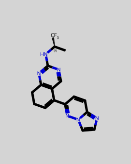 C[C@@H](Nc1ncc2c(n1)CCC=C2c1ccc2nccn2n1)C(F)(F)F